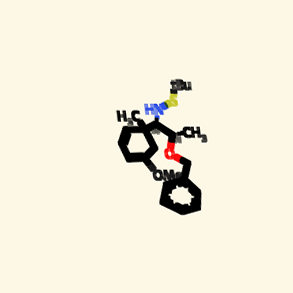 COC1=CC=CC(C)([C@H](NSC(C)(C)C)[C@H](C)OCc2ccccc2)C1